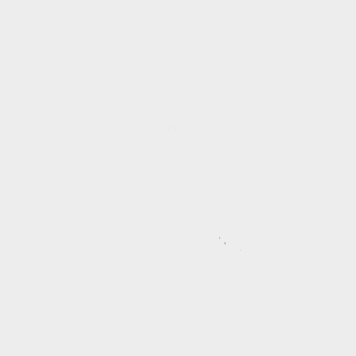 NC1CC(CCCB(O)O)C(C(=O)O)C1